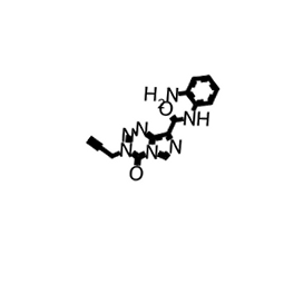 C#CCn1nnc2c(C(=O)Nc3ccccc3N)ncn2c1=O